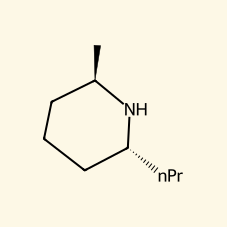 CCC[C@@H]1CCC[C@@H](C)N1